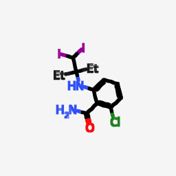 CCC(CC)(Nc1cccc(Cl)c1C(N)=O)C(I)I